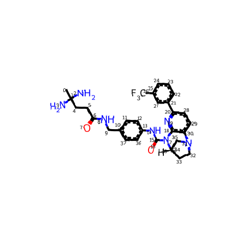 CC(N)(N)CCC(=O)NCc1ccc(NC(=O)N2c3nc(-c4cccc(C(F)(F)F)c4)ccc3N3CC[C@H]2C3)cc1